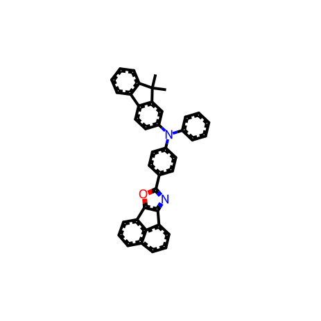 CC1(C)c2ccccc2-c2ccc(N(c3ccccc3)c3ccc(-c4nc5c(o4)-c4cccc6cccc-5c46)cc3)cc21